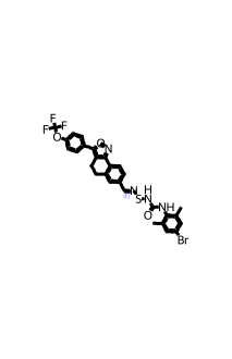 Cc1cc(Br)cc(C)c1NC(=O)NS/N=C/c1ccc2c(c1)CCc1c-2noc1-c1ccc(OC(F)(F)F)cc1